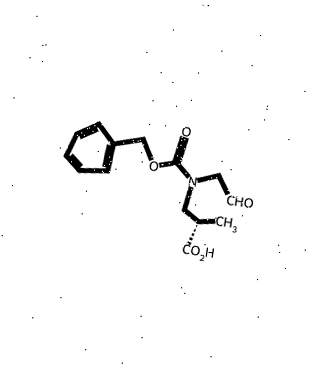 C[C@@H](CN(CC=O)C(=O)OCc1ccccc1)C(=O)O